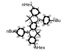 CCCCCCc1ccc2c(c1)C(C)(C)c1cc3c(cc1N2c1ccc(CCCC)cc1)C(C)(C)c1cc(CCCCCC)ccc1N3c1ccc(CCCC)cc1